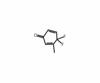 CC1=CC(=O)C=CC1(F)F